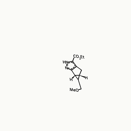 CCOC(=O)c1[nH]nc2c1C[C@@H]1C(COC)[C@H]21